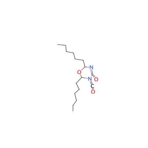 CCCCCCC(N=C=O)OC(CCCCCC)N=C=O